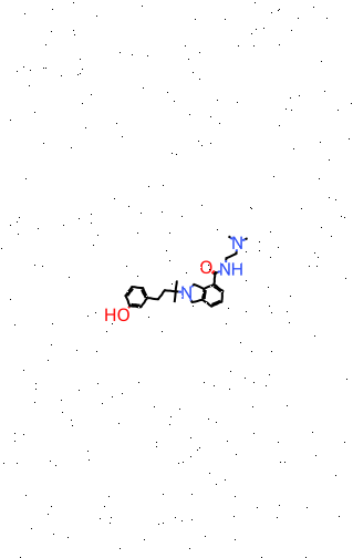 CN(C)CCNC(=O)c1cccc2c1CN(C(C)(C)CCc1cccc(O)c1)C2